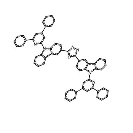 c1ccc(-c2cc(-c3ccccc3)nc(-n3c4ccccc4c4cc(-c5nnc(-c6ccc7c(c6)c6ccccc6n7-c6cc(-c7ccccc7)cc(-c7ccccc7)n6)o5)ccc43)c2)cc1